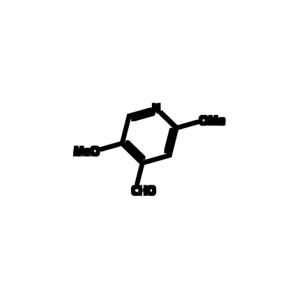 COc1cc(C=O)c(OC)cn1